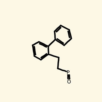 O=PCCc1ccccc1-c1ccccc1